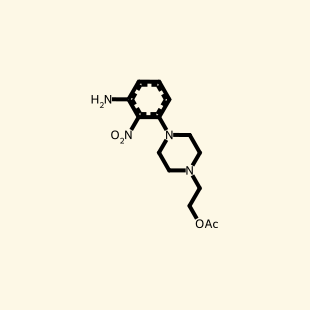 CC(=O)OCCN1CCN(c2cccc(N)c2[N+](=O)[O-])CC1